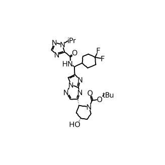 CC(C)n1ncnc1C(=O)N[C@H](c1cn2ncc([C@H]3C[C@@H](O)CCN3C(=O)OC(C)(C)C)nc2n1)C1CCC(F)(F)CC1